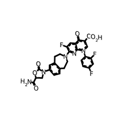 NC(=O)C1CN(c2ccc3c(c2)CCN(c2nc4c(cc2F)c(=O)c(C(=O)O)cn4-c2ccc(F)cc2F)CC3)C(=O)O1